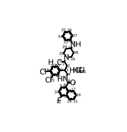 CC(CC(CNC(=O)c1ccc(F)c2ccccc12)c1ccc(Cl)c(Cl)c1)N1CCC(Nc2ccccc2)CC1.Cl.Cl